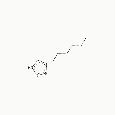 CCCCCC.c1c[nH]nn1